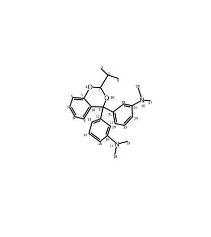 CC(C)C1Oc2ccccc2C(c2cccc(N(C)C)c2)(c2cccc(N(C)C)c2)O1